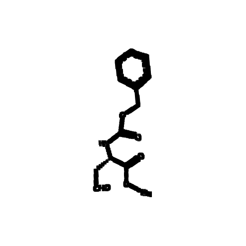 CC(C)(C)OC(=O)[C@H](CC=O)NC(=O)OCc1ccccc1